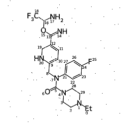 CCN1CCN(C(=O)N(CC2=CC=C(C(=N)OC(N)C(F)(F)F)CN2)c2ccc(F)cc2)CC1